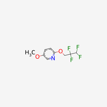 COc1ccc(OCC(F)(F)C(F)F)nc1